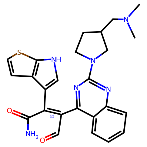 CN(C)CC1CCN(c2nc(/C(C=O)=C(/C(N)=O)c3c[nH]c4sccc34)c3ccccc3n2)C1